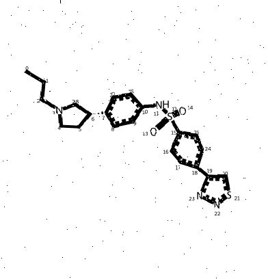 CCCN1CC[C@@H](c2ccc(NS(=O)(=O)c3ccc(-c4csnn4)cc3)cc2)C1